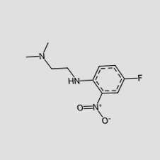 CN(C)CCNc1ccc(F)cc1[N+](=O)[O-]